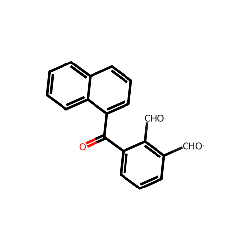 O=[C]c1cccc(C(=O)c2cccc3ccccc23)c1[C]=O